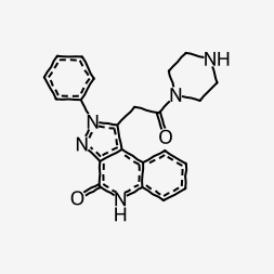 O=C(Cc1c2c(nn1-c1ccccc1)c(=O)[nH]c1ccccc12)N1CCNCC1